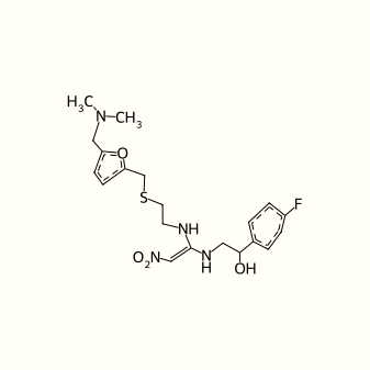 CN(C)Cc1ccc(CSCCNC(=C[N+](=O)[O-])NCC(O)c2ccc(F)cc2)o1